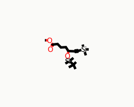 COC(=O)CCCC(C#C[Si](C)(C)C)O[Si](C)(C)C(C)(C)C